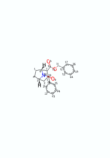 O=C1C[C@@H]2CC[C@H](C1C(=O)OCc1ccccc1)N2Cc1ccccc1